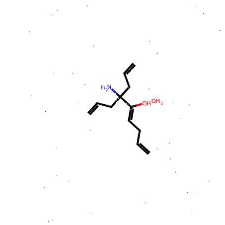 C=CCC=C(O)C(N)(CC=C)CC=C.O